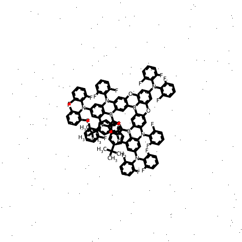 CC(C)(C)c1ccc2sc3c(c2c1)Oc1cc(N(c2c(F)cccc2F)c2c(F)cccc2F)cc2c1B3c1cc3c(cc1N2c1c(F)cccc1F)Oc1cc(N(c2c(F)cccc2F)c2c(F)cccc2F)cc2c1B3c1cc3c(cc1O2)N(c1c(F)cccc1F)c1cc(N(c2c(F)cccc2F)c2c(F)cccc2F)cc2c1B3c1sc3ccc(C(C)(C)C)cc3c1N2c1c(F)cccc1F